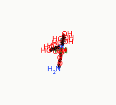 Cl.Cl.NCCOCCOCCOCCN(C[C@H](O)[C@@H](O)[C@H](O)[C@H](O)CO)C[C@H](O)[C@@H](O)[C@H](O)[C@H](O)CO